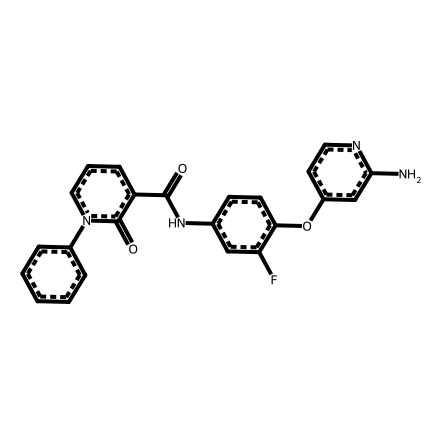 Nc1cc(Oc2ccc(NC(=O)c3cccn(-c4ccccc4)c3=O)cc2F)ccn1